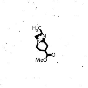 COC(=O)C1CCn2cc(C)nc2C1